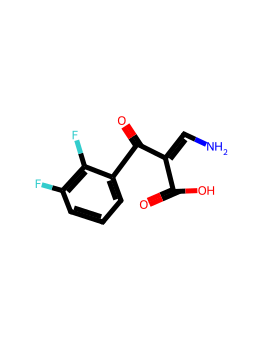 N/C=C(\C(=O)O)C(=O)c1cccc(F)c1F